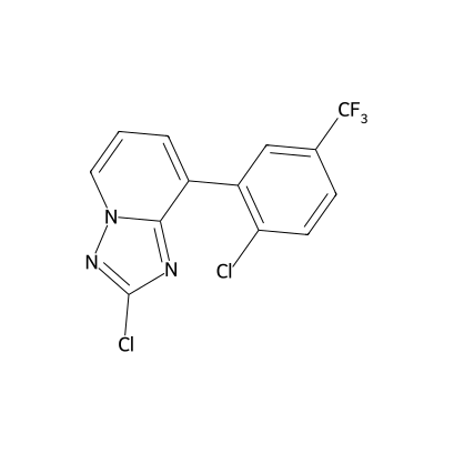 FC(F)(F)c1ccc(Cl)c(-c2cccn3nc(Cl)nc23)c1